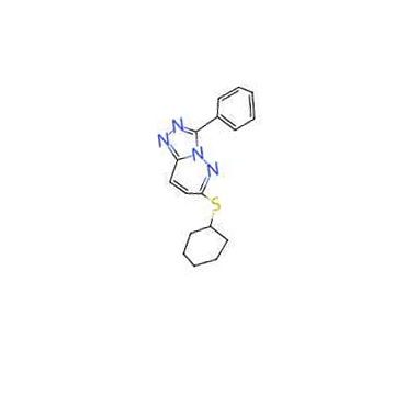 c1ccc(-c2nnc3ccc(SC4CCCCC4)nn23)cc1